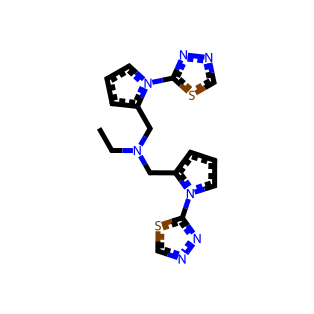 CCN(Cc1cccn1-c1nncs1)Cc1cccn1-c1nncs1